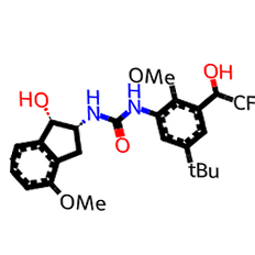 COc1cccc2c1C[C@@H](NC(=O)Nc1cc(C(C)(C)C)cc(C(O)C(F)(F)F)c1OC)[C@H]2O